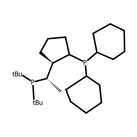 C[C@@H]([C@H]1CCCC1P(C1CCCCC1)C1CCCCC1)P(C(C)(C)C)C(C)(C)C